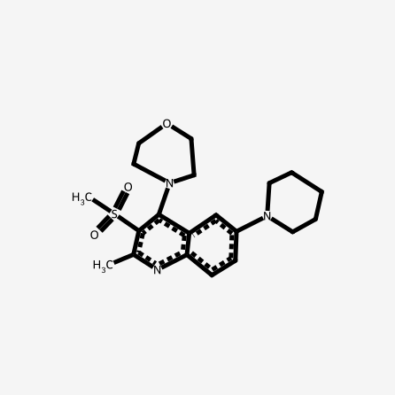 Cc1nc2ccc(N3CCCCC3)cc2c(N2CCOCC2)c1S(C)(=O)=O